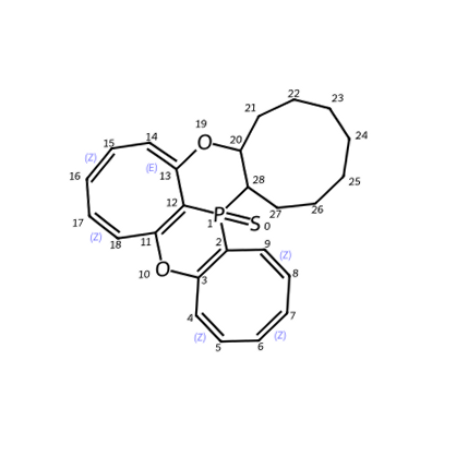 S=P12C3=C(\C=C/C=C\C=C/3)OC3=C1C(=C/C=C\C=C/3)\OC1CCCCCCCC12